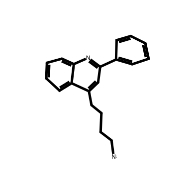 [N]CCCCc1cc(-c2ccccc2)nc2ccccc12